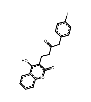 O=C(CCc1c(O)c2ccccc2oc1=O)Cc1ccc(I)cc1